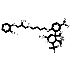 CC1=CC(C(=O)O)(c2cc([N+](=O)[O-])ccc2OCCCCNCC(O)COc2ccccc2C)C(C(=O)O)C(C(F)(F)F)N1